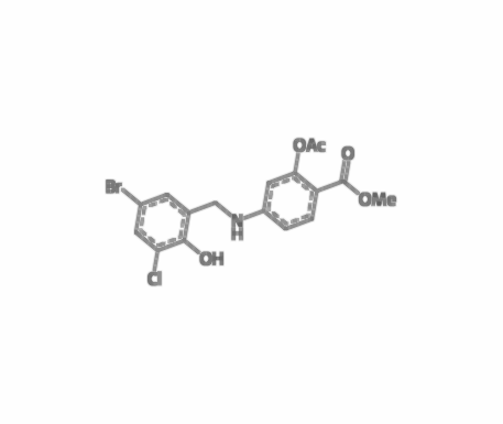 COC(=O)c1ccc(NCc2cc(Br)cc(Cl)c2O)cc1OC(C)=O